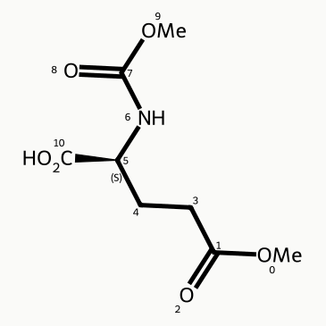 COC(=O)CC[C@H](NC(=O)OC)C(=O)O